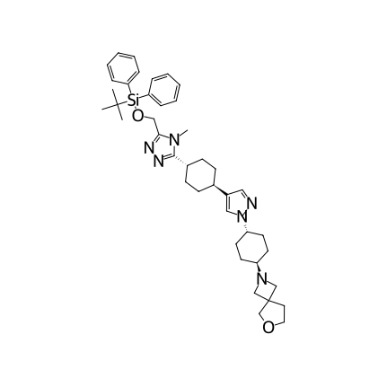 Cn1c(CO[Si](c2ccccc2)(c2ccccc2)C(C)(C)C)nnc1[C@H]1CC[C@H](c2cnn([C@H]3CC[C@H](N4CC5(CCOC5)C4)CC3)c2)CC1